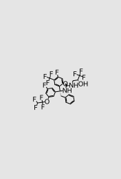 O=C(NC[C@@H](O)C(F)(F)F)N[C@@](Cc1ccccc1)(c1cc(F)cc(OC(F)(F)C(F)F)c1)c1ccc(F)c(C(F)(F)F)c1